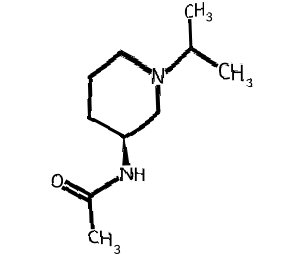 CC(=O)N[C@H]1CCCN(C(C)C)C1